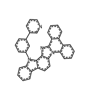 c1cncc(-c2cccc(-n3c4ccccc4c4ccc5c(nc6c7ccccc7c7ccccc7n56)c43)c2)c1